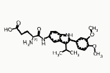 COc1ccc(-c2[nH]c3ccc(NC(=O)[C@@H](N)CCC(=O)O)cc3c2C(C)C)cc1OC